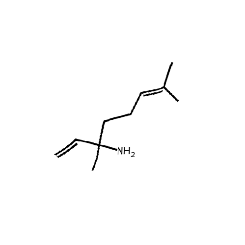 C=CC(C)(N)CCC=C(C)C